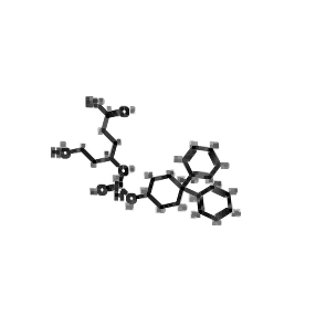 CCC(=O)CCC(CCO)O[PH](=O)OC1CCC(c2ccccc2)(c2ccccc2)CC1